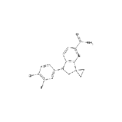 NC(=O)c1ccc2c(n1)C1(CC1)CN2c1ccc(Cl)c(F)c1